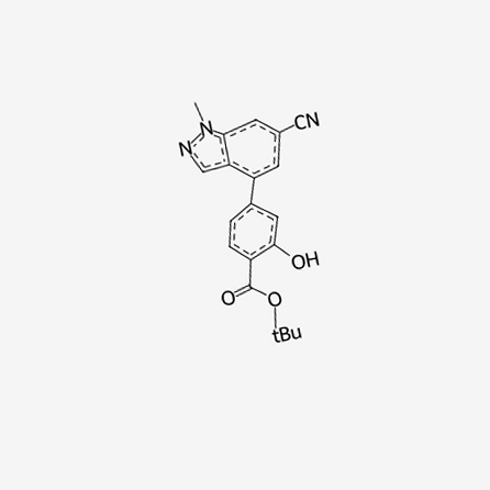 Cn1ncc2c(-c3ccc(C(=O)OC(C)(C)C)c(O)c3)cc(C#N)cc21